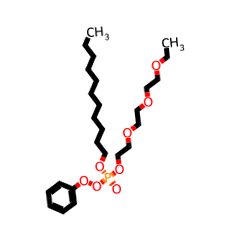 CCCCCCCCCCCOP(=O)(OCCOCCOCCOCC)OOc1ccccc1